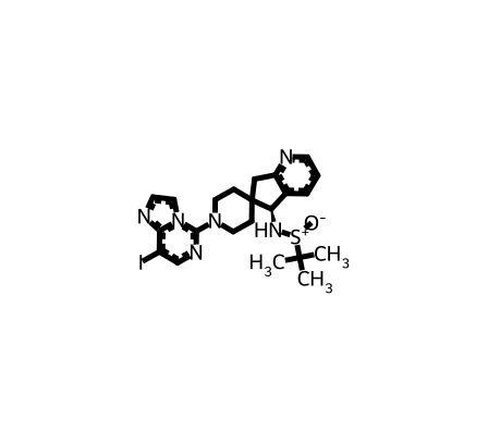 CC(C)(C)[S+]([O-])N[C@@H]1c2cccnc2CC12CCN(c1ncc(I)c3nccn13)CC2